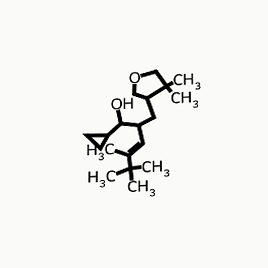 C/C(=C\C(CC1COCC1(C)C)C(O)C1CC1)C(C)(C)C